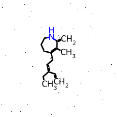 C=C/C(=C\CC1=C(C)C(=C)NCCC1)CC